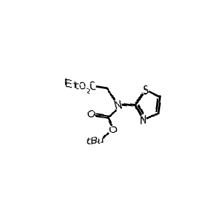 CCOC(=O)CN(C(=O)OC(C)(C)C)c1nccs1